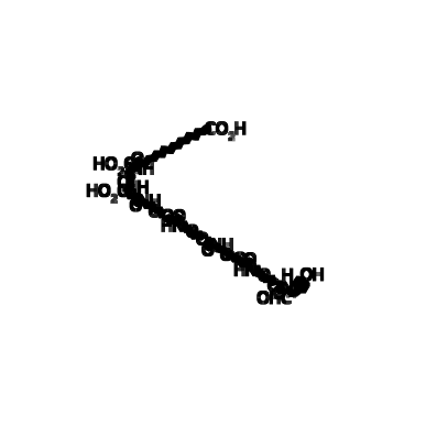 O=C[C@H](Cc1ccc(O)cc1)NC(=O)COCCOCCNC(=O)COCCOCCNC(=O)COCCOCCNC(=O)COCCOCCNC(=O)CC[C@@H](NC(=O)CC[C@H](NC(=O)CCCCCCCCCCCCCCCCC(=O)O)C(=O)O)C(=O)O